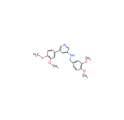 COc1ccc(CNc2cncc(-c3ccc(OC)c(OC)c3)c2)cc1OC